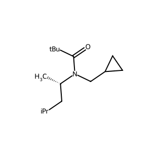 CC(C)C[C@H](C)N(CC1CC1)C(=O)C(C)(C)C